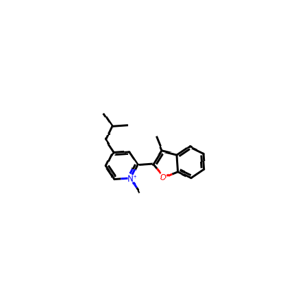 Cc1c(-c2cc(CC(C)C)cc[n+]2C)oc2ccccc12